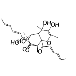 C/C=C/C=C/C(=O)C12C(=O)C(C)=C(O)C(C)(O)C1C1\C(=C(O)/C=C/C=C/C)C(=O)[C@]2(C)C(=O)[C@@]1(C)O